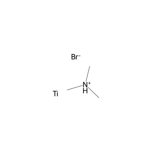 C[NH+](C)C.[Br-].[Ti]